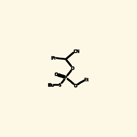 CCOP(=O)(OC(C#N)C(C)C)SC(C)CC